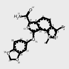 Cn1nc(Br)c2ccc3c(C(N)=O)sc(Oc4ccc5c(c4)OCO5)c3c21